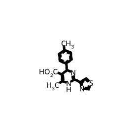 CC1=C(C(=O)O)C(c2ccc(C)cc2)N=C(c2cscn2)N1